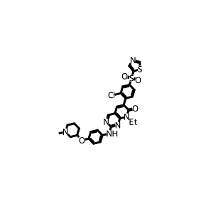 CCn1c(=O)c(-c2ccc(S(=O)(=O)c3cncs3)cc2Cl)cc2cnc(Nc3ccc(OC4CCCN(C)C4)cc3)nc21